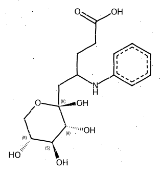 O=C(O)CCC(C[C@@]1(O)OC[C@@H](O)[C@H](O)[C@H]1O)Nc1ccccc1